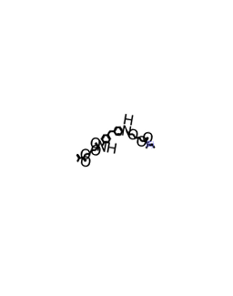 C=C(C)C(=O)OCCOC(=O)Nc1ccc(Cc2ccc(NCOCCOC(=O)/C(C)=C/C)cc2)cc1